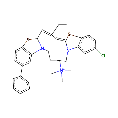 CCC(=CC1Sc2ccc(-c3ccccc3)cc2N1CCC[N+](C)(C)C)C=C1Sc2ccc(Cl)cc2N1CC